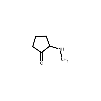 CNC1CCCC1=O